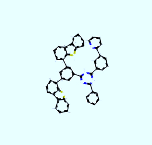 c1ccc(-c2nc(-c3cccc(-c4ccccn4)c3)nc(-c3cc(-c4cccc5c4sc4ccccc45)cc(-c4cccc5c4sc4ccccc45)c3)n2)cc1